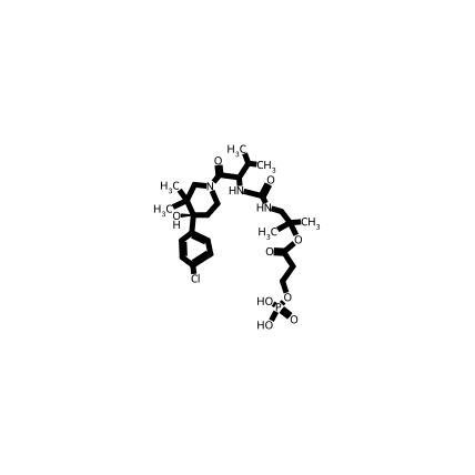 CC(C)C(NC(=O)NCC(C)(C)OC(=O)CCOP(=O)(O)O)C(=O)N1CC[C@](O)(c2ccc(Cl)cc2)C(C)(C)C1